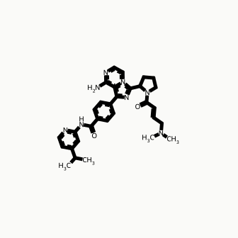 CC(C)c1ccnc(NC(=O)c2ccc(-c3nc(C4CCCN4C(=O)/C=C/CN(C)C)n4ccnc(N)c34)cc2)c1